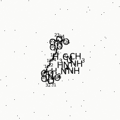 CN(C)C(=N)NC(=N)N.O=C(CCCCCCC(=O)ON1C(=O)CCC1=O)ON1C(=O)CCC1=O